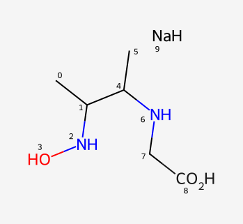 CC(NO)C(C)NCC(=O)O.[NaH]